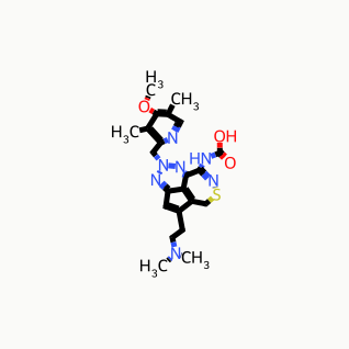 COc1c(C)cnc(Cn2nc3cc(CCN(C)C)c4c-3c(n2)C(NC(=O)O)=NSC4)c1C